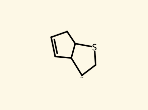 [C]1CSC2CC=CC12